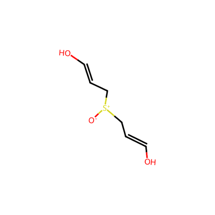 [O-][S+](CC=CO)CC=CO